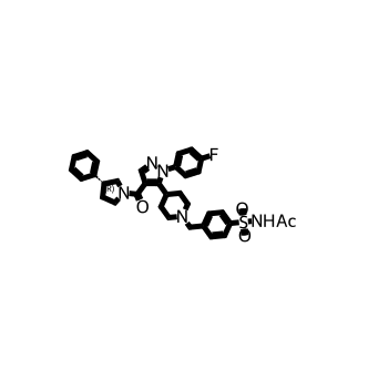 CC(=O)NS(=O)(=O)c1ccc(CN2CCC(c3c(C(=O)N4CC[C@H](c5ccccc5)C4)cnn3-c3ccc(F)cc3)CC2)cc1